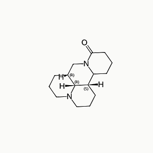 O=C1CCCC2[C@@H]3CCCN4CCC[C@H](CN12)[C@H]34